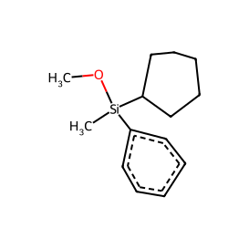 CO[Si](C)(c1ccccc1)C1CCCCC1